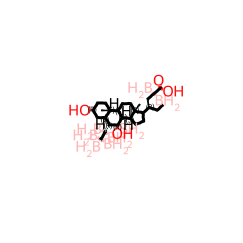 BC(B)(C[C@@H](CC)C1CC[C@H]2[C@H]3[C@H](CC[C@]12C)[C@@]1(C)CC[C@@H](O)C[C@H]1[C@@H](C(B)(B)C(B)(B)B)[C@@]3(B)O)C(=O)O